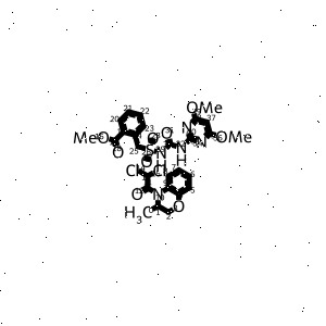 CC1COc2ccccc2N1C(=O)C(Cl)Cl.COC(=O)c1ccccc1CS(=O)(=O)NC(=O)Nc1nc(OC)cc(OC)n1